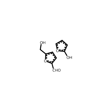 O=Cc1ccc(CO)o1.Oc1ccco1